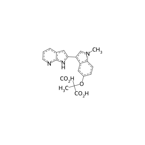 Cn1cc(-c2cc3cccnc3[nH]2)c2cc(OC(C)(C(=O)O)C(=O)O)ccc21